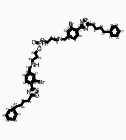 O=[PH](OCCCNCc1ccc(-c2noc(CCCCc3ccccc3)n2)c(Br)c1)OCCCNCc1ccc(-c2noc(CCCCc3ccccc3)n2)c(Br)c1